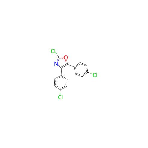 Clc1ccc(-c2nc(Cl)oc2-c2ccc(Cl)cc2)cc1